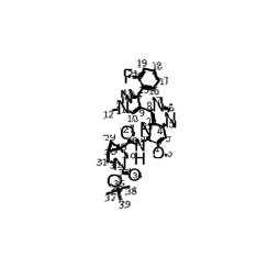 COc1cc2ncnc(-c3cn(C)nc3-c3ccccc3F)c2nc1NC(=O)C12CC1CN(C(=O)OC(C)(C)C)C2